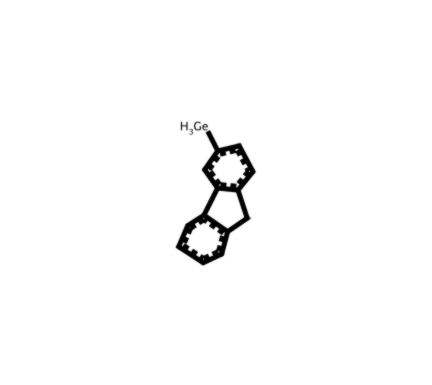 [GeH3][c]1ccc2c(c1)-c1ccccc1[CH]2